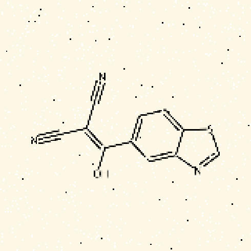 N#CC(C#N)=C(O)c1ccc2scnc2c1